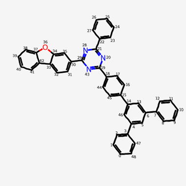 c1ccc(-c2cc(-c3ccccc3)cc(-c3ccc(-c4nc(-c5ccccc5)nc(-c5ccc6c(c5)oc5ccccc56)n4)cc3)c2)cc1